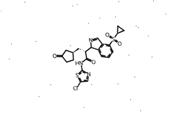 O=C1CC[C@H](C[C@@H](C(=O)Nc2ncc(Cl)s2)C2N=Cc3c2cccc3S(=O)(=O)C2CC2)C1